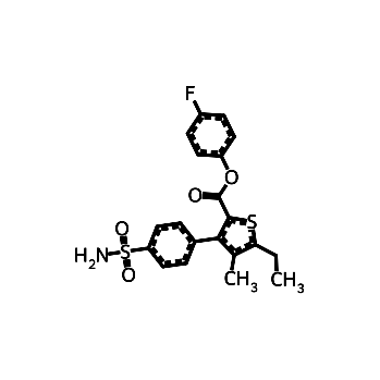 CCc1sc(C(=O)Oc2ccc(F)cc2)c(-c2ccc(S(N)(=O)=O)cc2)c1C